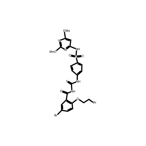 COc1cc(NS(=O)(=O)c2ccc(NC(=S)NC(=O)c3cc(Br)ccc3OCCC(C)C)cc2)nc(OC)n1